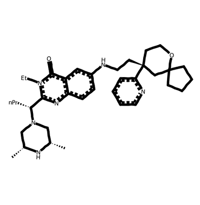 CCC[C@H](c1nc2ccc(NCC[C@@]3(c4ccccn4)CCOC4(CCCC4)C3)cc2c(=O)n1CC)N1C[C@@H](C)N[C@@H](C)C1